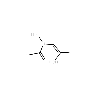 C=C(C)N(C)/C=C(/C)O